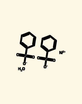 O.O=S(=O)([O-])c1ccccc1.O=S(=O)([O-])c1ccccc1.[Ni+2]